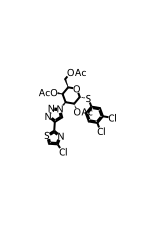 CC(=O)OC[C@H]1O[C@H](Sc2ccc(Cl)c(Cl)c2)[C@H](OC(C)=O)[C@@H](n2cc(-c3nc(Cl)cs3)nn2)[C@H]1OC(C)=O